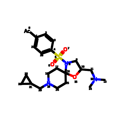 CC(=O)c1ccc(S(=O)(=O)N2CC(CN(C)C)OC23CCN(CC2CC2)CC3)cc1